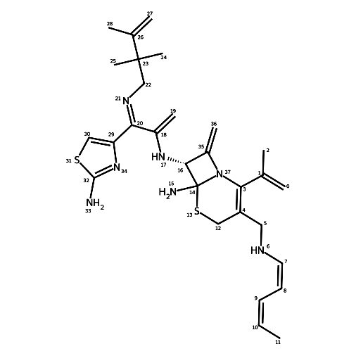 C=C(C)C1=C(CN/C=C\C=C/C)CSC2(N)[C@H](NC(=C)/C(=N\CC(C)(C)C(=C)C)c3csc(N)n3)C(=C)N12